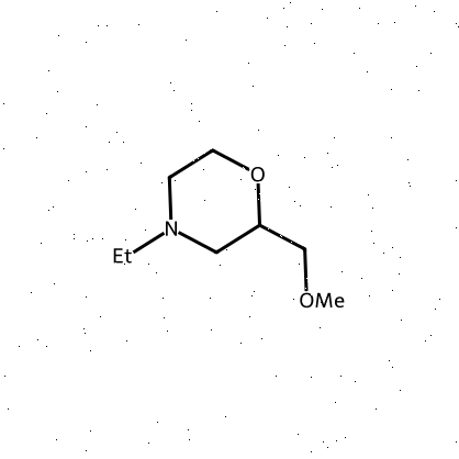 [CH2]CN1CCOC(COC)C1